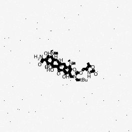 CC1OC(=O)NC1COC(=O)N(Cc1cc(N(C)C)c2c(c1O)C(=O)C1=C(O)[C@]3(O)C(=O)C(C(N)=O)=C(O)[C@@H](N(C)C)[C@@H]3C[C@@H]1C2)CC(C)(C)C